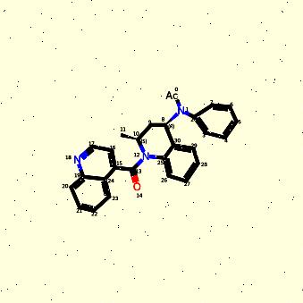 CC(=O)N(c1ccccc1)[C@@H]1C[C@H](C)N(C(=O)c2ccnc3ccccc23)c2ccccc21